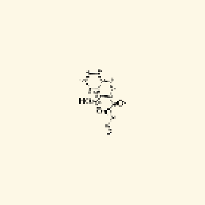 C=CCOC(=O)c1ccc2ccccc2c1C(=O)O